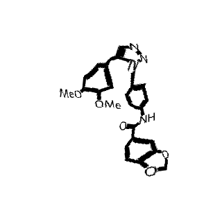 COc1ccc(-c2cnnn2-c2ccc(NC(=O)c3ccc4c(c3)OCO4)cc2)cc1OC